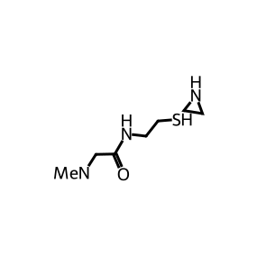 C1CN1.CNCC(=O)NCCS